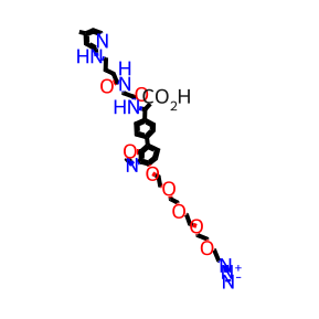 Cc1ccnc(NCCCC(=O)NCC(=O)NC(CC(=O)O)c2ccc(-c3ccc(OCCOCCOCCOCCOCCN=[N+]=[N-])c4ncoc34)cc2)c1